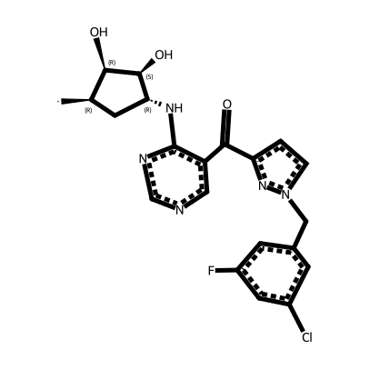 [CH2][C@@H]1C[C@@H](Nc2ncncc2C(=O)c2ccn(Cc3cc(F)cc(Cl)c3)n2)[C@H](O)[C@@H]1O